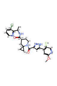 COc1cc(-c2cc(C(=O)N3CC[C@H](C(=O)NC(C)c4ncccc4Cl)CC34CC4)n[nH]2)c(F)cn1